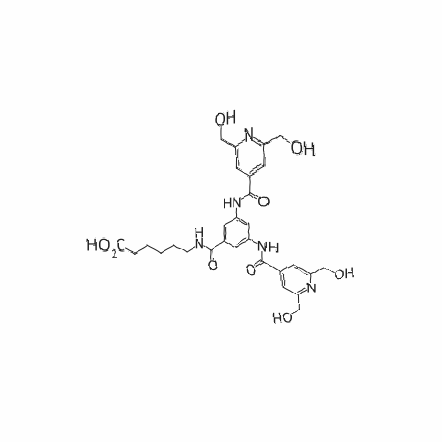 O=C(O)CCCCCNC(=O)c1cc(NC(=O)c2cc(CO)nc(CO)c2)cc(NC(=O)c2cc(CO)nc(CO)c2)c1